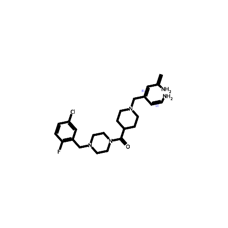 C=C(N)/C=C(\C=C/N)CN1CCC(C(=O)N2CCN(Cc3cc(Cl)ccc3F)CC2)CC1